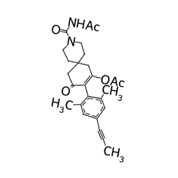 CC#Cc1cc(C)c(C2=C(OC(C)=O)CC3(CCN(C(=O)NC(C)=O)CC3)CC2=O)c(C)c1